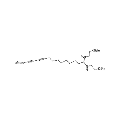 CCCCCCCCCC#CC#CCCCCCCCCC(NCCOC)NCCOC